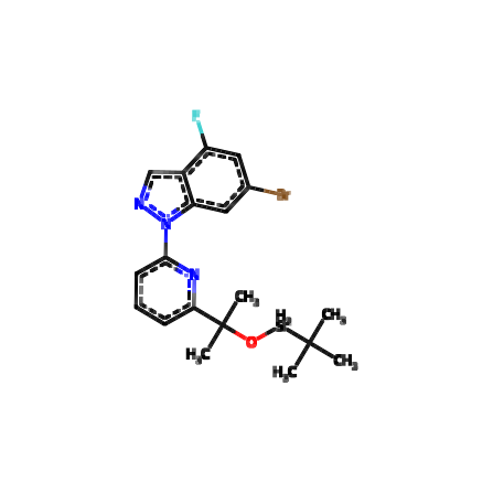 CC(C)(C)[SiH2]OC(C)(C)c1cccc(-n2ncc3c(F)cc(Br)cc32)n1